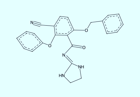 N#Cc1ccc(OCc2ccccc2)c(C(=O)N=C2NCCN2)c1Oc1ccccc1